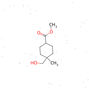 COC(=O)C1CCC(C)(CO)CC1